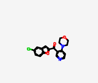 O=C(c1cc2cc(Cl)ccc2o1)c1cnccc1N1CCOCC1